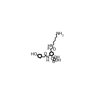 NCCCCCCNC(=O)C(F)c1ccc(OP(=O)(O)O)c(NC(=O)Cc2ccc(O)cc2)c1